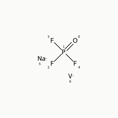 O=P(F)(F)F.[Na].[V]